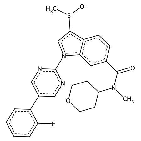 CN(C(=O)c1ccc2c([S+](C)[O-])cn(-c3ncc(-c4ccccc4F)cn3)c2c1)C1CCOCC1